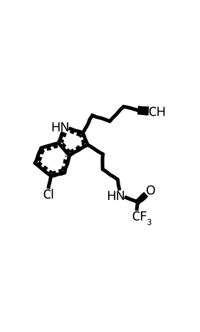 C#CCCCc1[nH]c2ccc(Cl)cc2c1CCCNC(=O)C(F)(F)F